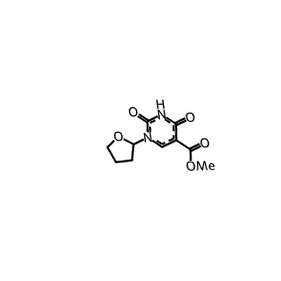 COC(=O)c1cn(C2CCCO2)c(=O)[nH]c1=O